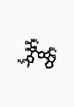 Cc1cc(-c2[nH]c(C(N)=O)nc2-c2ccc3c(c2)n(C)c(=O)n3-c2ccccc2F)ccc1F